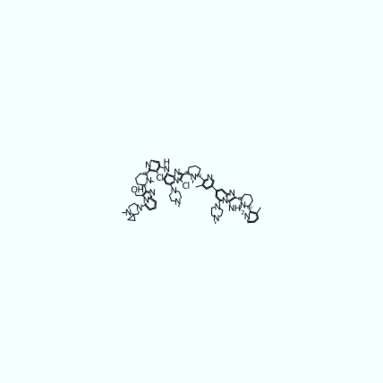 Cc1cccnc1[C@@H]1CCC[C@H](c2nc3cc(-c4cnc([C@@H]5CCC[C@H](c6nc7c(Nc8ccnc([C@@H]9CCC[C@H](c%10nc%11cccc(N%12CCN(C)C%13(CC%13)C%12)n%11c%10CO)N9C)c8Cl)ccc(N8CCN(C)CC8)n7c6Cl)N5C)c(C)c4)cc(N4CCN(C)CC4)n3c2N)N1C